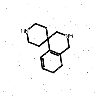 C1=CC2=C(CC1)CNCC21CCNCC1